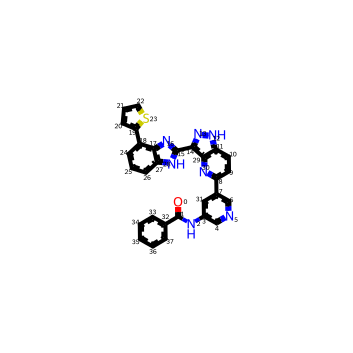 O=C(Nc1cncc(-c2ccc3[nH]nc(-c4nc5c(-c6cccs6)cccc5[nH]4)c3n2)c1)c1ccccc1